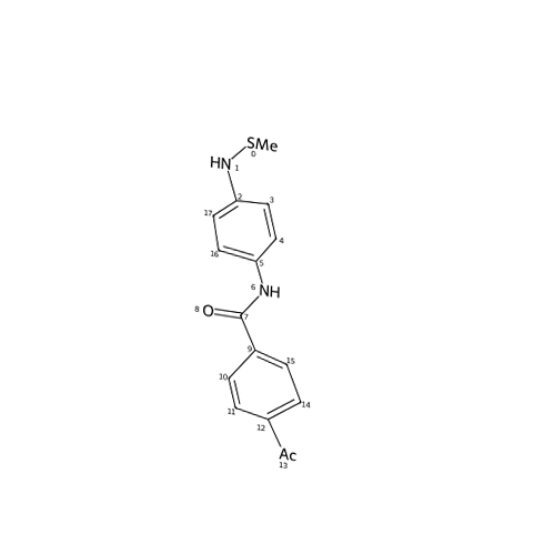 CSNc1ccc(NC(=O)c2ccc(C(C)=O)cc2)cc1